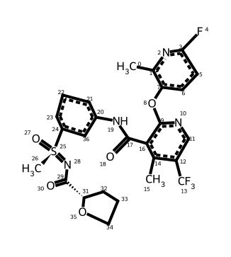 Cc1nc(F)ccc1Oc1ncc(C(F)(F)F)c(C)c1C(=O)Nc1cccc([S@@](C)(=O)=NC(=O)[C@@H]2CCCO2)c1